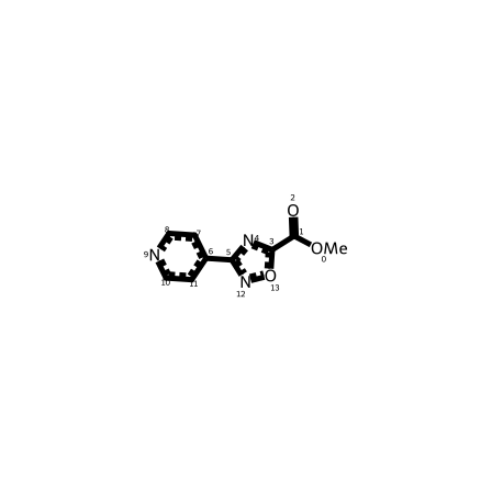 COC(=O)c1nc(-c2ccncc2)no1